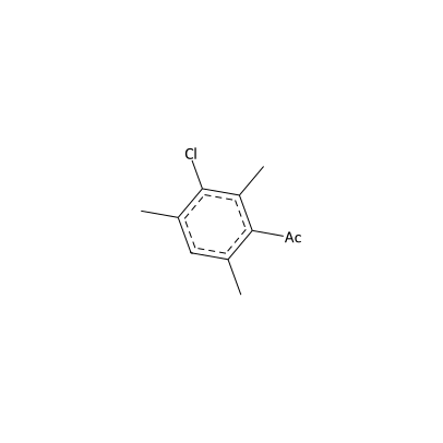 CC(=O)c1c(C)cc(C)c(Cl)c1C